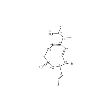 C/C=C/C1OC(=O)CO/N=C(C(C)C(C)O)\C=C\C1C